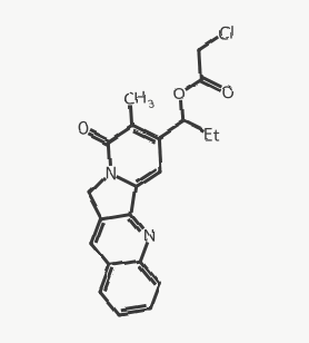 CCC(OC(=O)CCl)c1cc2n(c(=O)c1C)Cc1cc3ccccc3nc1-2